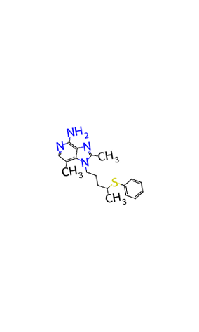 Cc1cnc(N)c2nc(C)n(CCCC(C)Sc3ccccc3)c12